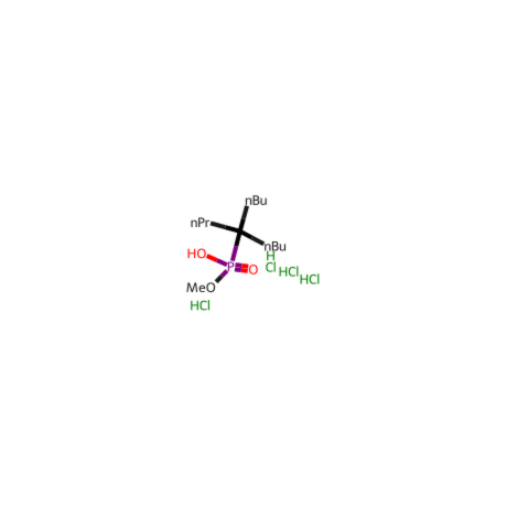 CCCCC(CCC)(CCCC)P(=O)(O)OC.Cl.Cl.Cl.Cl